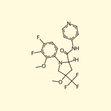 [2H]C1(C(=O)Nc2ccncc2)CC(OC)(C(F)(F)F)CN1c1ccc(F)c(F)c1OC